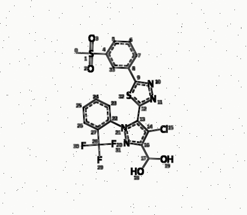 CS(=O)(=O)c1cccc(-c2nnc(-c3c(Cl)c(C(O)O)nn3-c3ccccc3C(F)(F)F)s2)c1